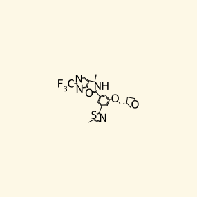 Cc1cnc(-c2cc(OC[C@@H]3CCOC3)cc(C(=O)N[C@H](C)c3cnc(C(F)(F)F)nc3)c2)s1